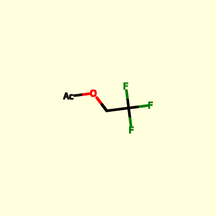 [CH2]C(=O)OCC(F)(F)F